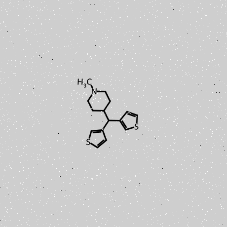 CN1CCC(C(c2ccsc2)c2ccsc2)CC1